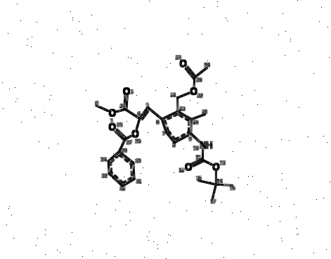 COC(=O)C(=Cc1ccc(NC(=O)OC(C)(C)C)c(C)c1COC(C)=O)OC(=O)c1ccccc1